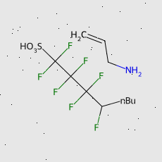 C=CCN.CCCCC(F)C(F)(F)C(F)(F)C(F)(F)S(=O)(=O)O